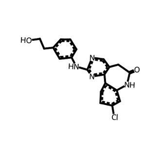 O=C1Cc2cnc(Nc3cccc(CCO)c3)nc2-c2ccc(Cl)cc2N1